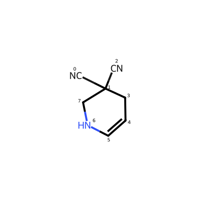 N#CC1(C#N)CC=CNC1